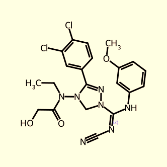 CCN(C(=O)CO)N1CN(/C(=N\C#N)Nc2cccc(OC)c2)N=C1c1ccc(Cl)c(Cl)c1